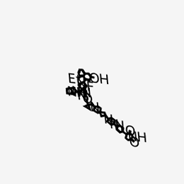 CCc1cccc2cc(O)cc(-c3ncc4c(N5CC6CCC(C5)N6)nc(OCC5(CN6CCC7(CC6)CC(N6CCN(c8ccc(C9CCC(=O)NC9=O)cn8)CC6)C7)CC5)nc4c3F)c12